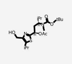 CC(=O)O[C@H](C[C@H](C(C)C)N(C)C(=O)OC(C)(C)C)c1nc(CO)c(C(C)C)s1